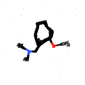 [2H]N([2H])Cc1ccccc1OC(F)(F)F